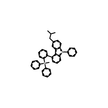 CC(C)Cc1ccc2c(c1)c1c(-c3ccccc3[Si](C)(c3ccccc3)c3ccccc3)cccc1n2-c1ccccc1